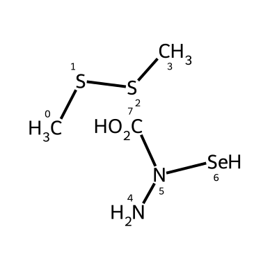 CSSC.NN([SeH])C(=O)O